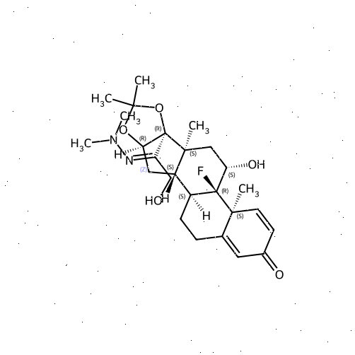 CN(C)/N=C(/CO)[C@@]12OC(C)(C)O[C@@H]1C[C@H]1[C@@H]3CCC4=CC(=O)C=C[C@]4(C)[C@@]3(F)[C@@H](O)C[C@@]12C